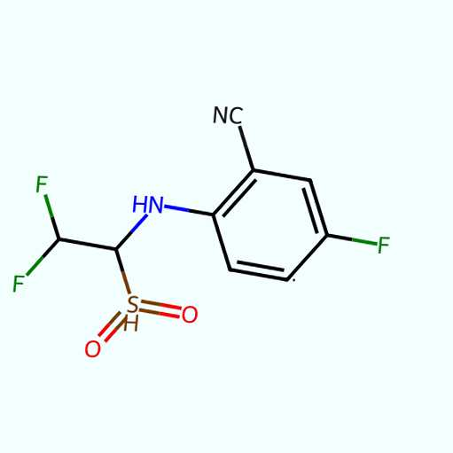 N#Cc1cc(F)[c]cc1NC(C(F)F)[SH](=O)=O